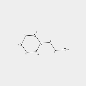 [O]CCC1SCSCS1